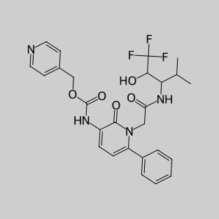 CC(C)C(NC(=O)Cn1c(-c2ccccc2)ccc(NC(=O)OCc2ccncc2)c1=O)C(O)C(F)(F)F